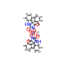 COP(=O)(ON1C(=O)NC(c2ccccc2)(c2ccccc2)C1=O)ON1C(=O)NC(c2ccccc2)(c2ccccc2)C1=O